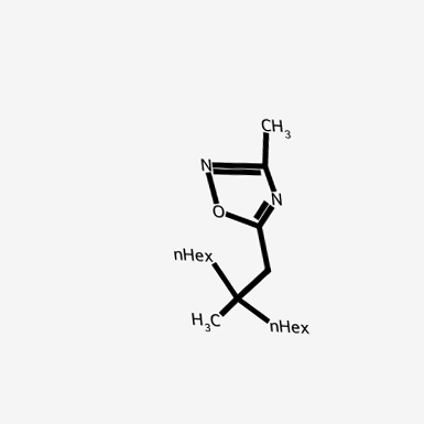 CCCCCCC(C)(CCCCCC)Cc1nc(C)no1